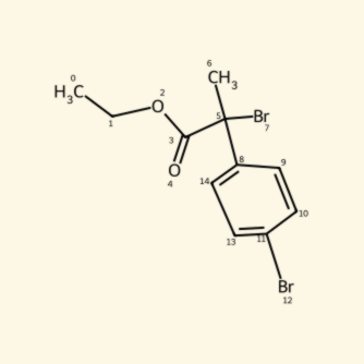 CCOC(=O)C(C)(Br)c1ccc(Br)cc1